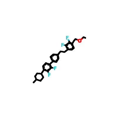 CCOCc1ccc(CCc2ccc(-c3ccc(C4CCC(C)CC4)c(F)c3F)cc2)c(F)c1F